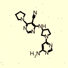 N#Cc1c(NC2CCN(c3cc(N)ncn3)C2)ncnc1N1CCCC1